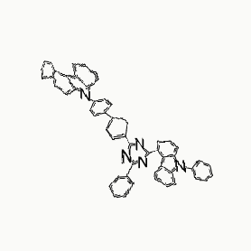 C1=C(c2ccc(-n3c4ccccc4c4c5ccccc5ccc43)cc2)CCC(c2nc(-c3ccccc3)nc(-c3cccc4c3c3ccccc3n4-c3ccccc3)n2)=C1